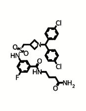 NC(=O)CCCNC(=O)c1cc(F)cc(NS(=O)(=O)CC2CN(C(c3ccc(Cl)cc3)c3ccc(Cl)cc3)C2)c1